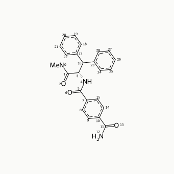 CNC(=O)[C@@H](NC(=O)c1ccc(C(N)=O)cc1)C(c1ccccc1)c1ccccc1